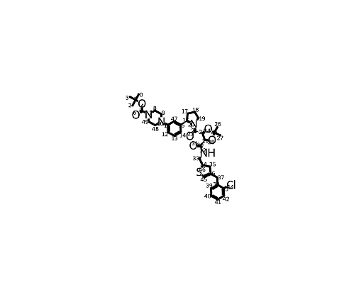 CC(C)(C)OC(=O)N1CCN(c2cccc([C@H]3CCCN3C(=O)[C@@H]3OC(C)(C)O[C@H]3C(=O)NCC3CC(Cc4ccccc4Cl)=CS3)c2)CC1